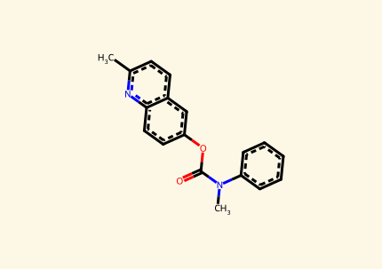 Cc1ccc2cc(OC(=O)N(C)c3ccccc3)ccc2n1